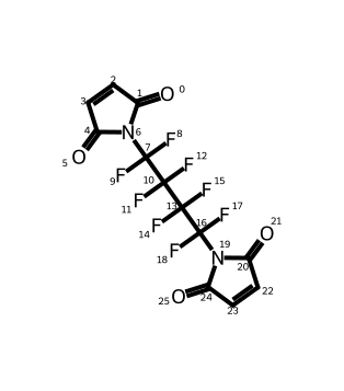 O=C1C=CC(=O)N1C(F)(F)C(F)(F)C(F)(F)C(F)(F)N1C(=O)C=CC1=O